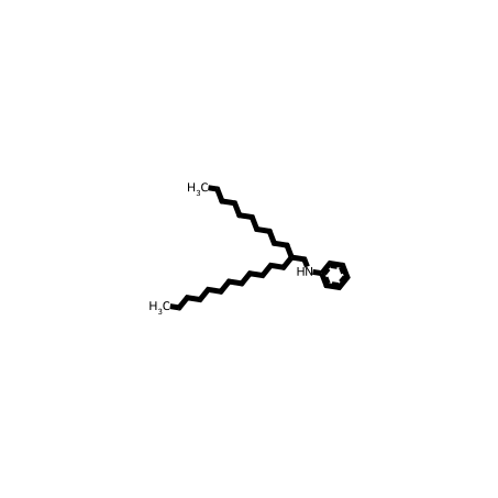 CCCCCCCCCCCCC(CCCCCCCCCC)CNc1ccccc1